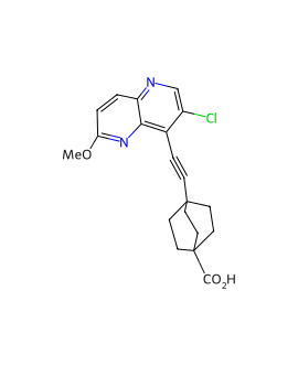 COc1ccc2ncc(Cl)c(C#CC34CCC(C(=O)O)(CC3)CC4)c2n1